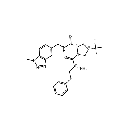 Cn1nnc2cc(CNC(=O)[C@@H]3C[C@H](C(F)(F)F)CN3C(=O)[C@H](N)CCc3ccccc3)ccc21